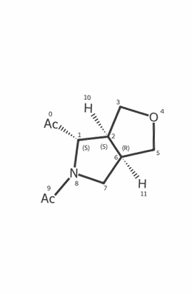 CC(=O)[C@@H]1[C@H]2COC[C@H]2CN1C(C)=O